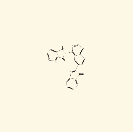 O=C1C(c2ccc3cccc(N4C(=O)c5ccccc5C4=O)c3c2)=C(O)c2ccccc21